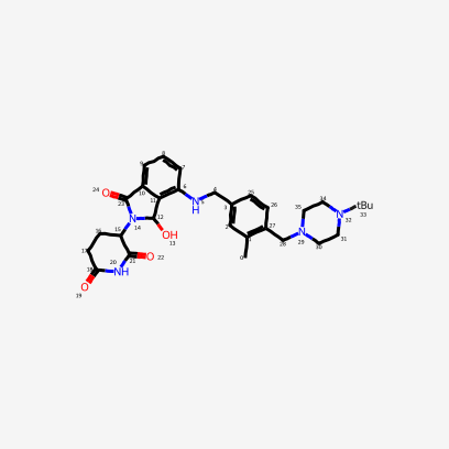 Cc1cc(CNc2cccc3c2C(O)N(C2CCC(=O)NC2=O)C3=O)ccc1CN1CCN(C(C)(C)C)CC1